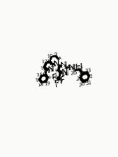 FC(F)(F)c1cc(N2CCCc3ccc(-c4ccccc4)nc32)nc(NCCc2ccccc2)n1